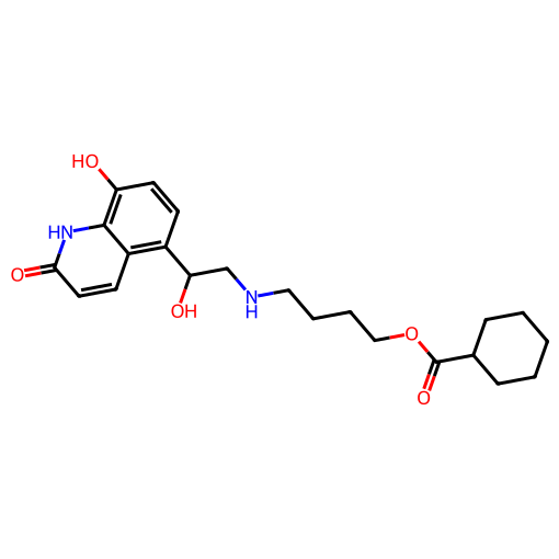 O=C(OCCCCNCC(O)c1ccc(O)c2[nH]c(=O)ccc12)C1CCCCC1